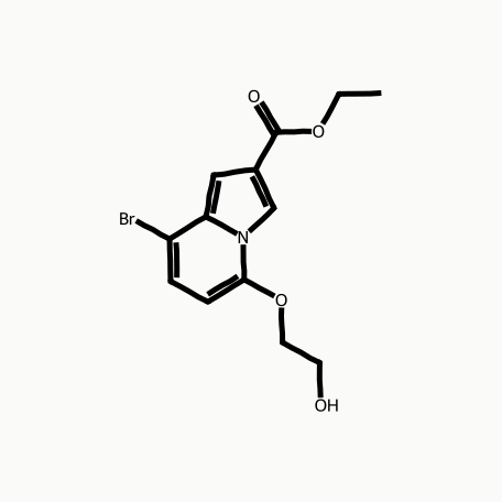 CCOC(=O)c1cc2c(Br)ccc(OCCO)n2c1